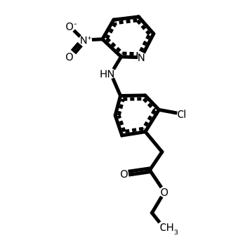 CCOC(=O)Cc1ccc(Nc2ncccc2[N+](=O)[O-])cc1Cl